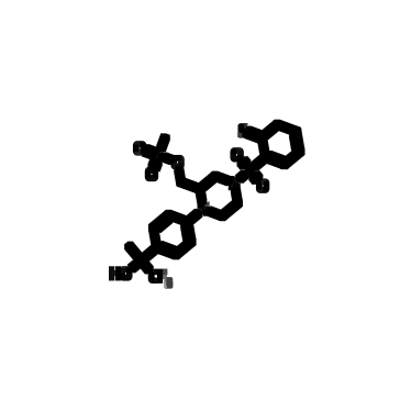 CC(O)(c1ccc(N2CCN(S(=O)(=O)C3=CC=CCC3=S)CC2COS(C)(=O)=O)cc1)C(F)(F)F